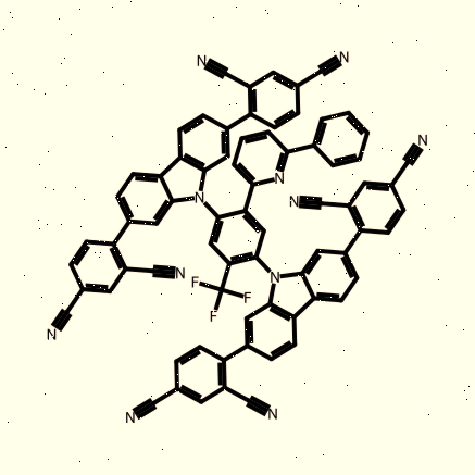 N#Cc1ccc(-c2ccc3c4ccc(-c5ccc(C#N)cc5C#N)cc4n(-c4cc(C(F)(F)F)c(-n5c6cc(-c7ccc(C#N)cc7C#N)ccc6c6ccc(-c7ccc(C#N)cc7C#N)cc65)cc4-c4cccc(-c5ccccc5)n4)c3c2)c(C#N)c1